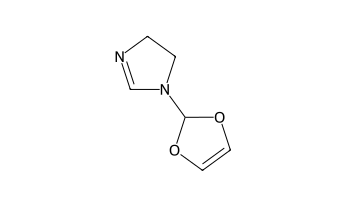 C1=COC(N2C=NCC2)O1